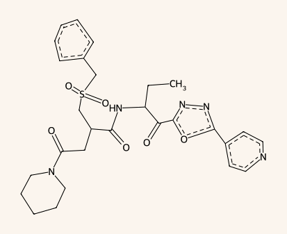 CCC(NC(=O)C(CC(=O)N1CCCCC1)CS(=O)(=O)Cc1ccccc1)C(=O)c1nnc(-c2ccncc2)o1